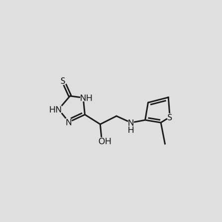 Cc1sccc1NCC(O)c1n[nH]c(=S)[nH]1